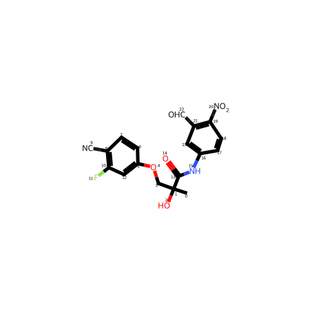 CC(O)(COc1ccc(C#N)c(F)c1)C(=O)Nc1ccc([N+](=O)[O-])c(C=O)c1